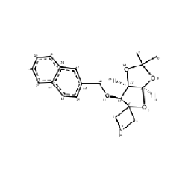 CC1(C)O[C@H]2OC3(CNC3)[C@@H](OCc3ccc4ccccc4c3)[C@H]2O1